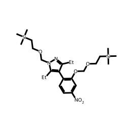 CCc1nn(COCC[Si](C)(C)C)c(CC)c1-c1ccc([N+](=O)[O-])cc1OCOCC[Si](C)(C)C